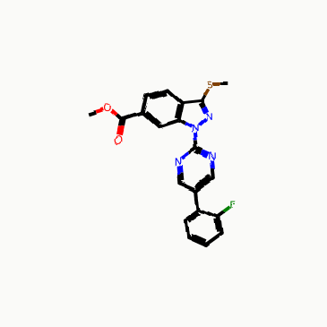 COC(=O)c1ccc2c(SC)nn(-c3ncc(-c4ccccc4F)cn3)c2c1